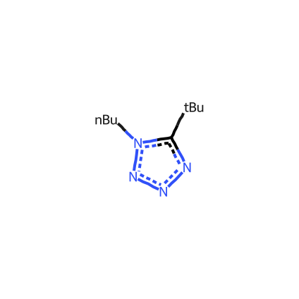 CCCCn1nnnc1C(C)(C)C